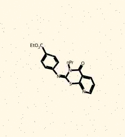 CCCn1c(=Nc2ccc(C(=O)OCC)cc2)sc2ncccc2c1=O